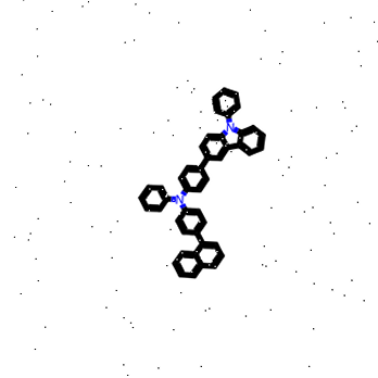 c1ccc(N(c2ccc(-c3ccc4c(c3)c3ccccc3n4-c3ccccc3)cc2)c2ccc(-c3cccc4ccccc34)cc2)cc1